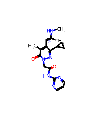 CN/C(C)=C/c1c(C2CC2)nn(CC(=O)Nc2ncccn2)c(=O)c1C